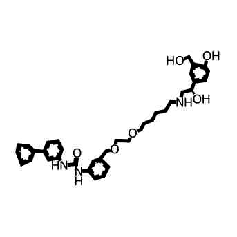 O=C(Nc1cccc(COCCOCCCCCCNC[C@H](O)c2ccc(O)c(CO)c2)c1)Nc1cccc(-c2ccccc2)c1